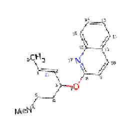 C/C=C/C(CCNC)Oc1ccc2ccccc2n1